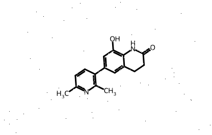 Cc1ccc(-c2cc(O)c3c(c2)CCC(=O)N3)c(C)n1